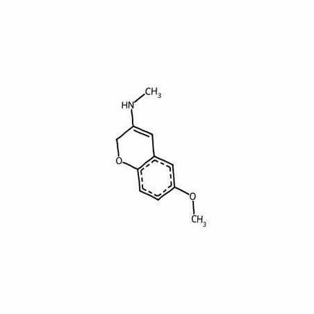 CNC1=Cc2cc(OC)ccc2OC1